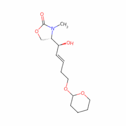 CN1C(=O)OC[C@H]1[C@@H](O)/C=C/CCOC1CCCCO1